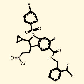 CCN(CCC1c2cc(C(=O)NCc3ccccc3C(F)F)c(F)cc2N(S(=O)(=O)c2ccc(F)cc2)C1C1CC1)C(C)=O